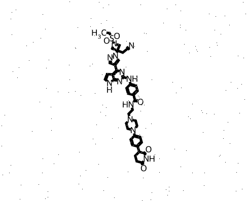 CCS(=O)(=O)N1CC(CC#N)(n2cc(-c3nc(Nc4ccc(C(=O)NCCN5CCN(c6ccc(C7CCC(=O)NC7=O)cc6)CC5)cc4)nc4[nH]ccc34)cn2)C1